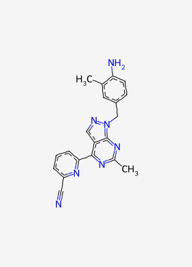 Cc1nc(-c2cccc(C#N)n2)c2cnn(Cc3ccc(N)c(C)c3)c2n1